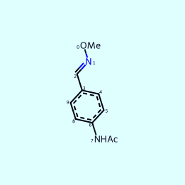 CON=Cc1ccc(NC(C)=O)cc1